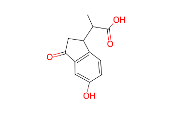 CC(C(=O)O)C1CC(=O)c2cc(O)ccc21